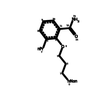 CCCCCCCCCCCCOc1c(CCC)cccc1C(N)=O